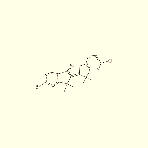 CC1(C)c2cc(Cl)ccc2-c2sc3c(c21)C(C)(C)c1cc(Br)ccc1-3